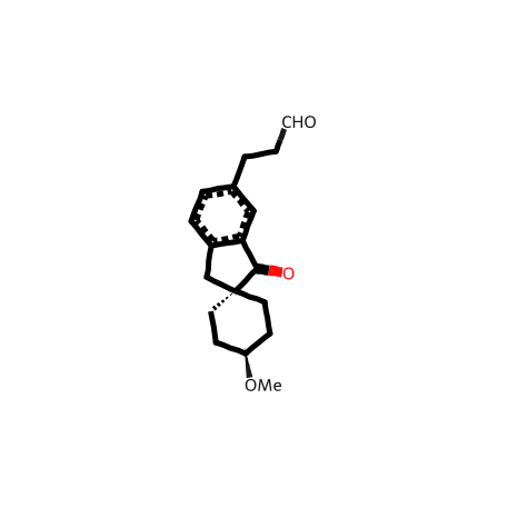 CO[C@H]1CC[C@]2(CC1)Cc1ccc(CCC=O)cc1C2=O